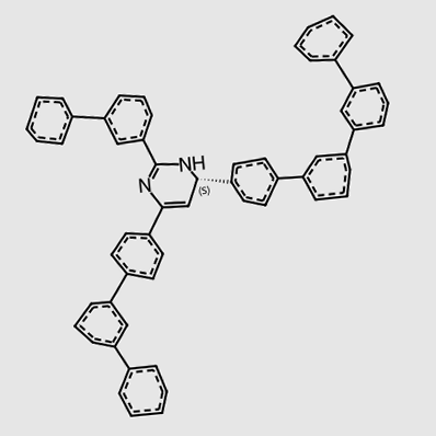 C1=C(c2ccc(-c3cccc(-c4ccccc4)c3)cc2)N=C(c2cccc(-c3ccccc3)c2)N[C@@H]1c1ccc(-c2cccc(-c3cccc(-c4ccccc4)c3)c2)cc1